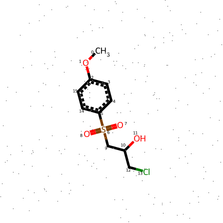 COc1ccc(S(=O)(=O)CC(O)CCl)cc1